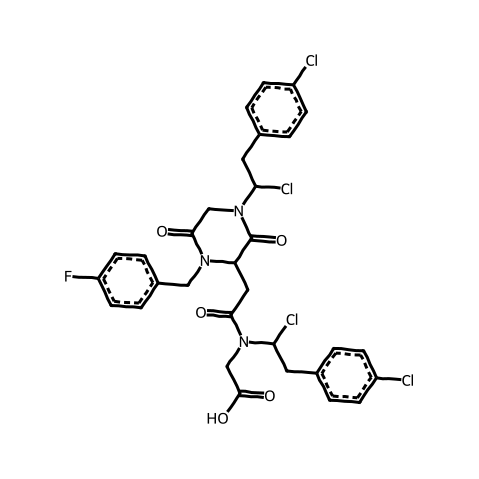 O=C(O)CN(C(=O)CC1C(=O)N(C(Cl)Cc2ccc(Cl)cc2)CC(=O)N1Cc1ccc(F)cc1)C(Cl)Cc1ccc(Cl)cc1